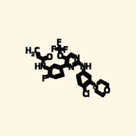 C=CC(=O)Nc1cc(-c2nc(Nc3ccc(Cl)c(N4CCOCC4)c3)ncc2OC(F)(F)F)ccc1F